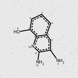 Nc1cc2cccc(O)c2nc1N